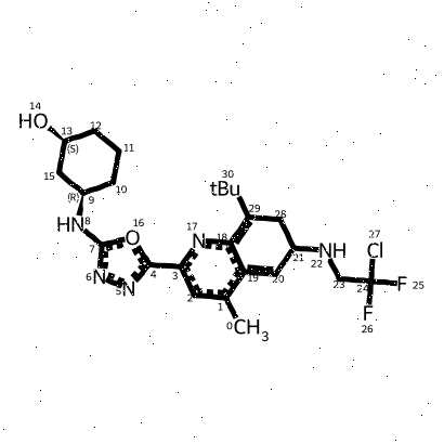 Cc1cc(-c2nnc(N[C@@H]3CCC[C@H](O)C3)o2)nc2c1=CC(NCC(F)(F)Cl)CC=2C(C)(C)C